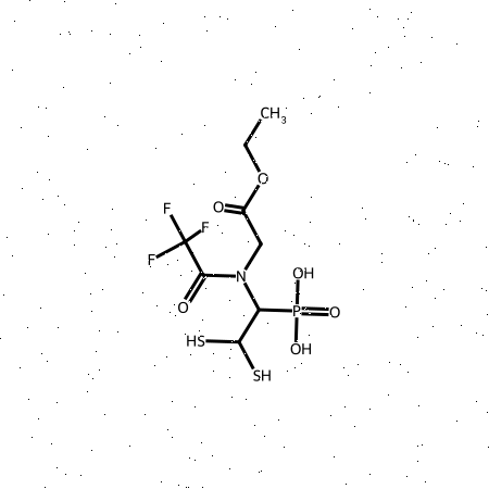 CCOC(=O)CN(C(=O)C(F)(F)F)C(C(S)S)P(=O)(O)O